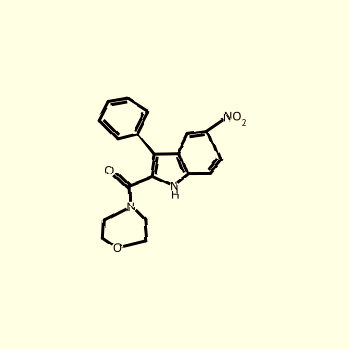 O=C(c1[nH]c2ccc([N+](=O)[O-])cc2c1-c1ccccc1)N1CCOCC1